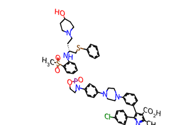 Cc1c(C(=O)O)c(-c2cccc(N3CCN(c4ccc(N5CCO[P@@]5(=O)c5ccc(N[C@H](CCN6CCC(O)CC6)CSc6ccccc6)c(S(C)(=O)=O)c5)cc4)CC3)c2)c(-c2ccc(Cl)cc2)n1C(C)C